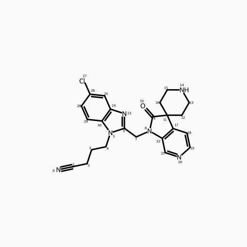 N#CCCCn1c(CN2C(=O)C3(CCNCC3)c3ccncc32)nc2cc(Cl)ccc21